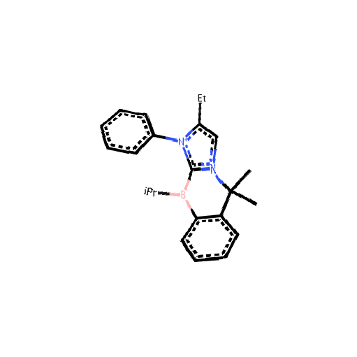 CCc1cn2c([n+]1-c1ccccc1)B(C(C)C)c1ccccc1C2(C)C